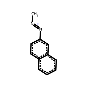 C/N=N/c1ccc2ccccc2c1